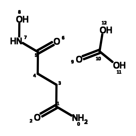 NC(=O)CCC(=O)NO.O=C(O)O